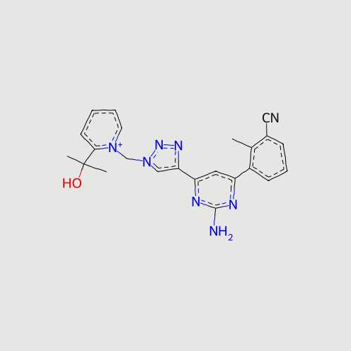 Cc1c(C#N)cccc1-c1cc(-c2cn(C[n+]3ccccc3C(C)(C)O)nn2)nc(N)n1